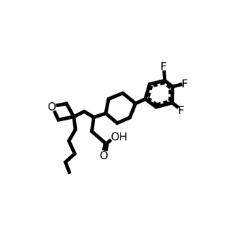 CCCCCC1(CC(CC(=O)O)C2CCC(c3cc(F)c(F)c(F)c3)CC2)COC1